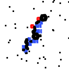 Cc1cc(Nc2nccc(-c3cn(C)cn3)n2)cc2cc(C(=O)NCc3nc4ccccc4o3)[nH]c12